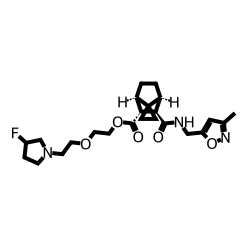 Cc1cc(CNC(=O)[C@H]2[C@H](C(=O)OCCOCCN3CCC(F)C3)[C@H]3CC[C@@H]2C32CC2)on1